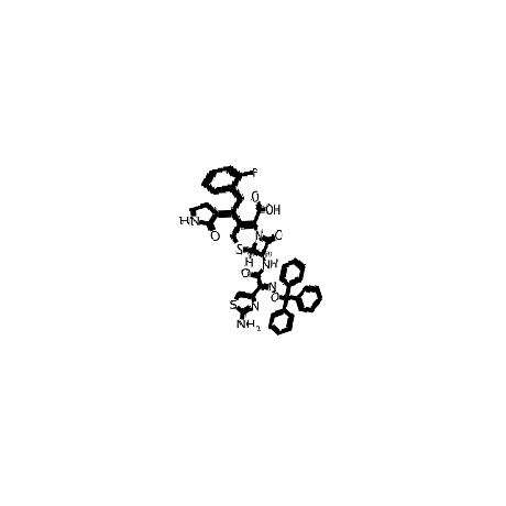 Nc1nc(C(=NOC(c2ccccc2)(c2ccccc2)c2ccccc2)C(=O)N[C@@H]2C(=O)N3C(C(=O)O)=C(C(Cc4ccccc4F)=C4CCNC4=O)CS[C@H]23)cs1